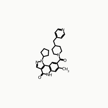 Cc1cc2[nH]c(=O)c3cnn(C4CCCC4)c3c2cc1C(=O)N1CCC(Cc2ccncc2)CC1